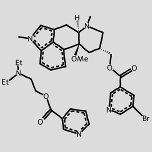 CCN(CC)CCOC(=O)c1cccnc1.CO[C@]12C[C@@H](COC(=O)c3cncc(Br)c3)CN(C)[C@@H]1Cc1cn(C)c3cccc2c13